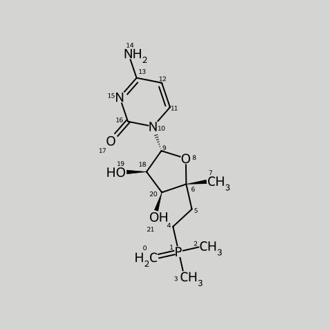 C=P(C)(C)CC[C@@]1(C)O[C@@H](n2ccc(N)nc2=O)[C@H](O)[C@@H]1O